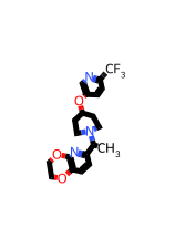 CC(c1ccc2c(n1)OCCO2)N1CCC(Oc2ccc(C(F)(F)F)nc2)CC1